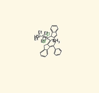 CC[SiH](CC)[Si](CC)(CC)[Ti]([Cl])([Cl])([c]1ccc(-c2ccccc2)c2c1Cc1ccccc1-2)[CH]1C(C)=Cc2ccccc21